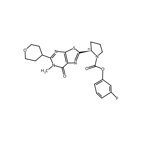 Cn1c(C2CCOCC2)nc2sc([C@H]3CCCN3C(=O)Oc3cccc(F)c3)nc2c1=O